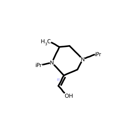 CC(C)N1C/C(=C\O)N(C(C)C)C(C)C1